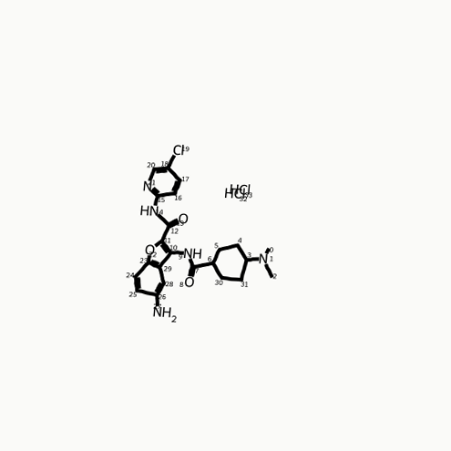 CN(C)C1CCC(C(=O)Nc2c(C(=O)Nc3ccc(Cl)cn3)oc3ccc(N)cc23)CC1.Cl.Cl